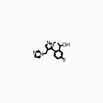 CC(O)c1cc(F)ccc1-c1c(Cn2ccnc2)cnn1C